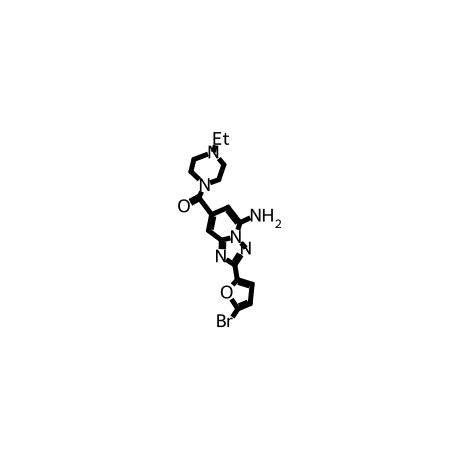 CCN1CCN(C(=O)c2cc(N)n3nc(-c4ccc(Br)o4)nc3c2)CC1